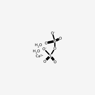 O.O.O=S(=O)([O-])OS(=O)(=O)[O-].[Ca+2]